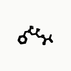 C=C(C)C(=O)OCC(Br)CN(CC)Cc1ccccc1